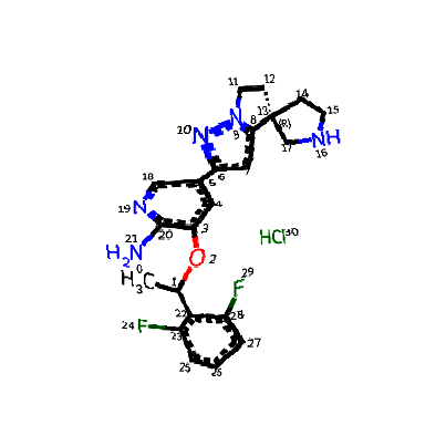 CC(Oc1cc(-c2cc3n(n2)CC[C@@]32CCNC2)cnc1N)c1c(F)cccc1F.Cl